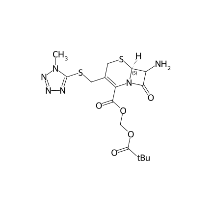 Cn1nnnc1SCC1=C(C(=O)OCOC(=O)C(C)(C)C)N2C(=O)C(N)[C@@H]2SC1